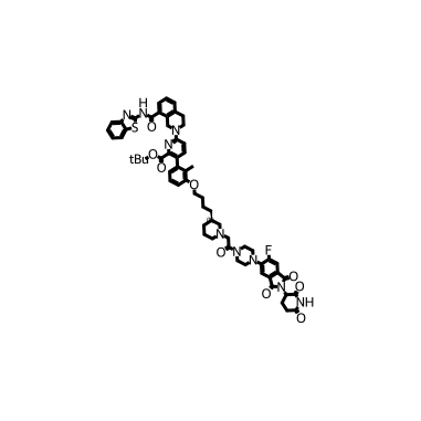 Cc1c(OCCCC[C@@H]2CCCN(CC(=O)N3CCN(c4cc5c(cc4F)C(=O)N(C4CCC(=O)NC4=O)C5=O)CC3)C2)cccc1-c1ccc(N2CCc3cccc(C(=O)Nc4nc5ccccc5s4)c3C2)nc1C(=O)OC(C)(C)C